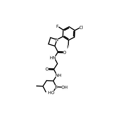 CC(C)CC(NC(=O)CNC(=O)C1CCN1c1c(F)cc(Cl)cc1F)B(O)O